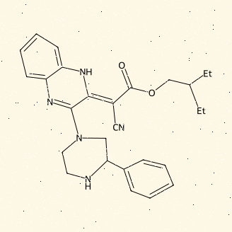 CCC(CC)COC(=O)/C(C#N)=C1\Nc2ccccc2N=C1N1CCNC(c2ccccc2)C1